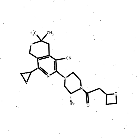 CC(C)[C@@H]1CN(c2nc(C3CC3)c3c(c2C#N)CC(C)(C)OC3)CCN1C(=O)CC1CCO1